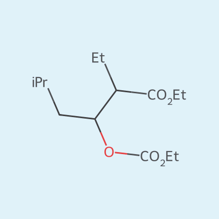 CCOC(=O)OC(CC(C)C)C(CC)C(=O)OCC